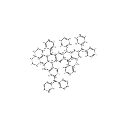 c1ccc(N(c2ccccc2)c2ccc3c(c2)Oc2c4c5c(c6c2B3c2cc3c(cc2N6c2ccccc2)N(c2ccccc2)c2cc(N(c6ccccc6)c6ccccc6)cc6c2B3c2ccccc2O6)CCCN5CCC4)cc1